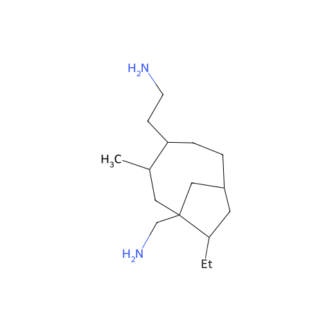 CCC1CC2CCC(CCN)C(C)CC1(CN)C2